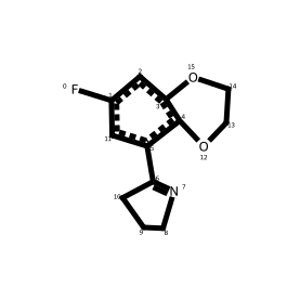 Fc1cc2c(c(C3=NCCC3)c1)OCCO2